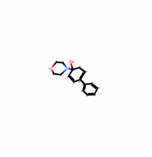 OC1(N2CCOCC2)C=CC(c2ccccc2)=CC1